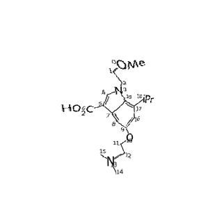 COCCn1cc(C(=O)O)c2cc(OCCN(C)C)cc(C(C)C)c21